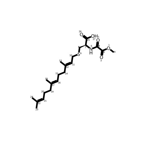 COC(=O)C(=O)N[C@@H](CSC/C=C(\C)CC/C=C(\C)CCC=C(C)C)C(=O)O